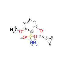 COc1cccc(OCC2CC2)c1S(N)(=O)=O